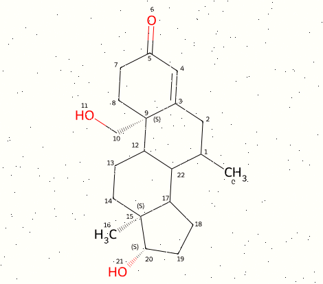 CC1CC2=CC(=O)CC[C@]2(CO)C2CC[C@@]3(C)C(CC[C@@H]3O)C12